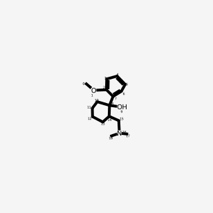 COc1ccccc1C1(O)CCCCC1CN(C)C